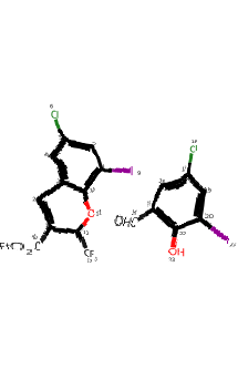 CCOC(=O)C1=Cc2cc(Cl)cc(I)c2OC1C(F)(F)F.O=Cc1cc(Cl)cc(I)c1O